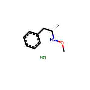 CON[C@@H](C)Cc1ccccc1.Cl